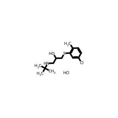 Cc1ccc(Cl)cc1SCC(O)CNC(C)(C)C.Cl